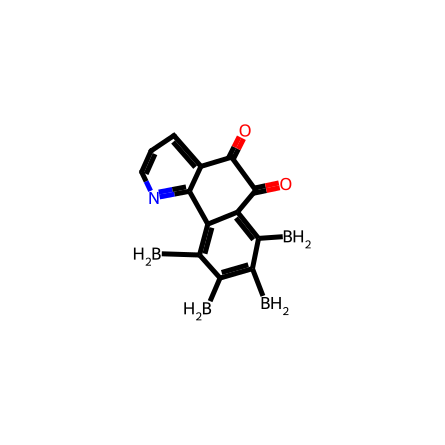 Bc1c(B)c(B)c2c(c1B)C(=O)C(=O)c1cccnc1-2